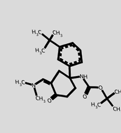 CN(C)/C=C1/CC(NC(=O)OC(C)(C)C)(c2cccc(C(C)(C)C)c2)CCC1=O